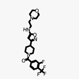 O=C(c1ccc(C(F)(F)F)c(F)c1)N1CCC(c2cc(NCCN3CCOCC3)on2)CC1